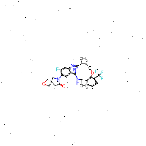 C[C@@H]1CCOc2c(cccc2C(F)(F)F)[C@@H](C)Nc2nc1nc1cc(F)c(N3CC4(COC4)CC3=O)cc21